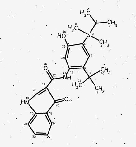 CC(C)S(C)(C)c1cc(C(C)(C)C)c(NC(=O)c2c[nH]c3ccccc3c2=O)cc1O